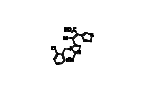 CCCCc1ncc(C(CC)=C(C(=O)O)c2ccsc2)n1Cc1ccccc1Cl